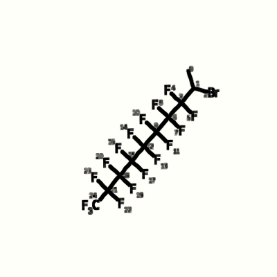 CC(Br)C(F)(F)C(F)(F)C(F)(F)C(F)(F)C(F)(F)C(F)(F)C(F)(F)C(F)(F)F